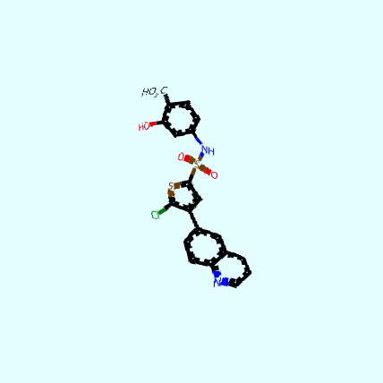 O=C(O)c1ccc(NS(=O)(=O)c2cc(-c3ccc4ncccc4c3)c(Cl)s2)cc1O